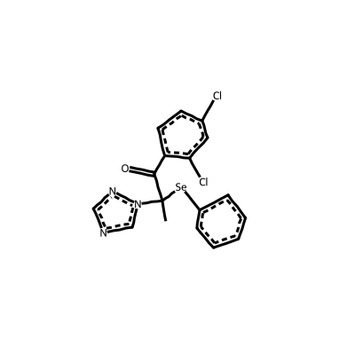 CC([Se]c1ccccc1)(C(=O)c1ccc(Cl)cc1Cl)n1cncn1